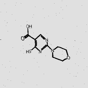 O=C(O)c1cnc(N2CCOCC2)nc1S